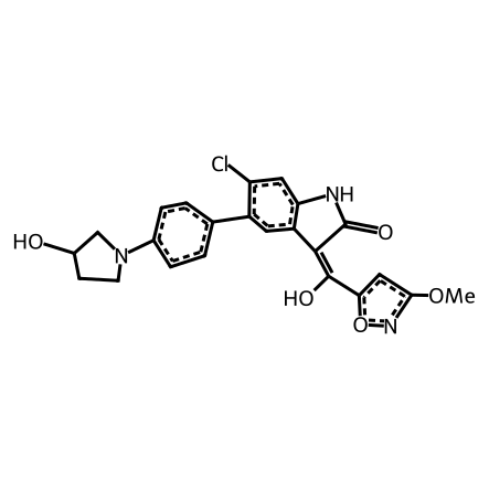 COc1cc(C(O)=C2C(=O)Nc3cc(Cl)c(-c4ccc(N5CCC(O)C5)cc4)cc32)on1